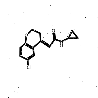 O=C(C=C1CCOc2ccc(Cl)cc21)NC1CC1